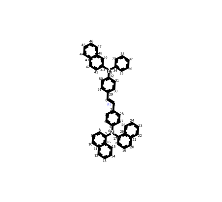 C(=C\c1ccc(N(c2cccc3ccccc23)c2cccc3ccccc23)cc1)/c1ccc(N(c2ccccc2)c2ccc3ccccc3c2)cc1